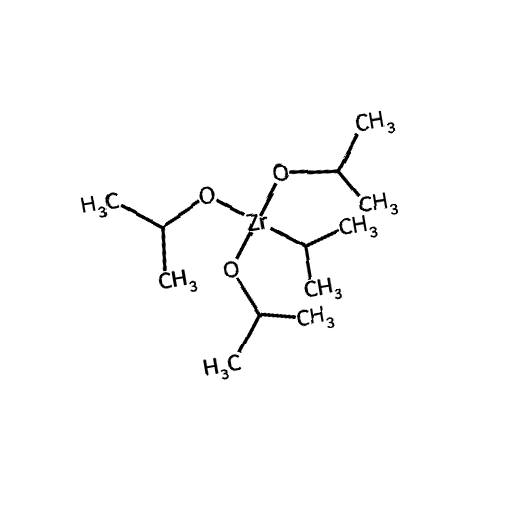 CC(C)[O][Zr]([O]C(C)C)([O]C(C)C)[CH](C)C